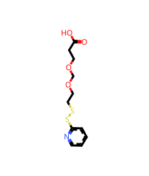 O=C(O)CCOCOCCSSc1ccccn1